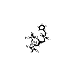 CS(=O)(=O)NCC(CS(=O)(=O)CC1CCCC1)OP(=O)(O)O